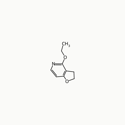 CCOc1nccc2c1CCO2